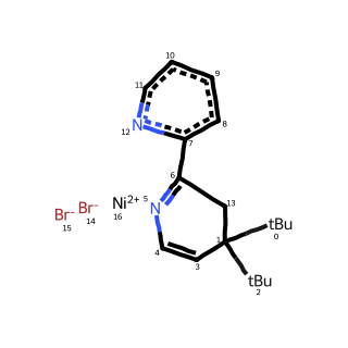 CC(C)(C)C1(C(C)(C)C)C=CN=C(c2ccccn2)C1.[Br-].[Br-].[Ni+2]